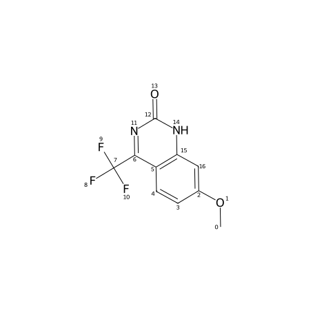 COc1ccc2c(C(F)(F)F)nc(=O)[nH]c2c1